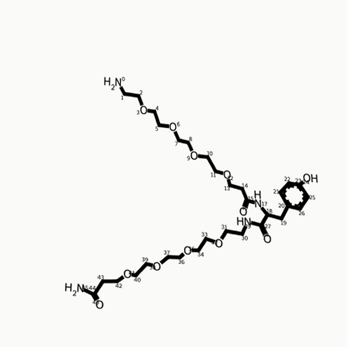 NCCOCCOCCOCCOCCC(=O)NC(Cc1ccc(O)cc1)C(=O)NCCOCCOCCOCCOCCC(N)=O